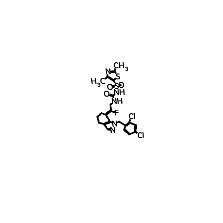 Cc1nc(C)c(S(=O)(=O)NC(=O)NCC(F)=C2CCCc3cnn(Cc4ccc(Cl)cc4Cl)c32)s1